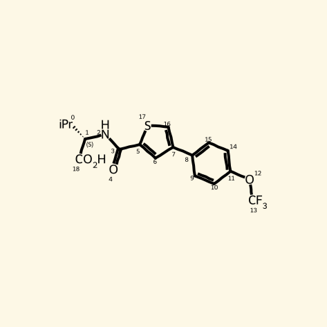 CC(C)[C@H](NC(=O)c1cc(-c2ccc(OC(F)(F)F)cc2)cs1)C(=O)O